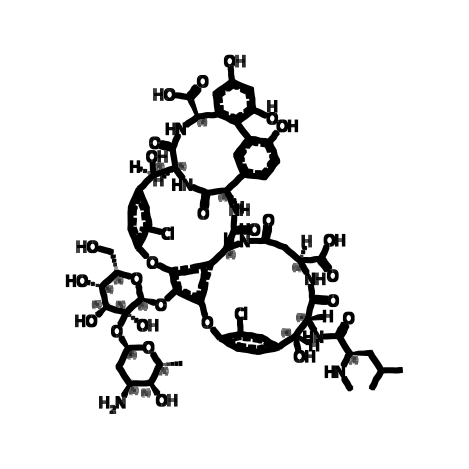 CN[C@H](CC(C)C)C(=O)N[C@H]1C(=O)N[C@H](C(=O)O)CC(=O)N[C@H]2C(=O)N[C@H]3C(=O)N[C@H](C(=O)N[C@@H](C(=O)O)c4cc(O)cc(O)c4-c4cc3ccc4O)[C@H](O)c3ccc(c(Cl)c3)Oc3cc2cc(c3O[C@@H]2O[C@@H](CO)[C@@H](O)[C@H](O)[C@]2(O)O[C@@H]2C[C@H](N)[C@H](O)[C@@H](C)O2)Oc2ccc(cc2Cl)[C@H]1O